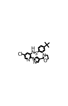 CC(C)(C)c1ccc(SNc2cc(Cl)cnc2-n2cc(C3=NCCO3)cn2)cc1